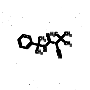 CC(C)(NC(=O)C(C#N)C(C)(C)C)c1ccccc1